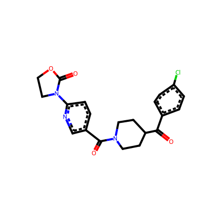 O=C(c1ccc(Cl)cc1)C1CCN(C(=O)c2ccc(N3CCOC3=O)nc2)CC1